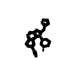 C[C@@H]1CC(n2c(Cc3ccon3)nc3cnc4ccc(C#N)cc4c32)CCO1